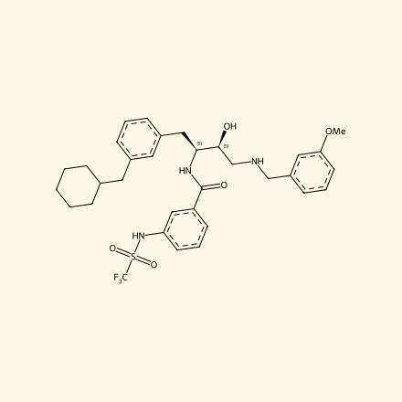 COc1cccc(CNC[C@H](O)[C@H](Cc2cccc(CC3CCCCC3)c2)NC(=O)c2cccc(NS(=O)(=O)C(F)(F)F)c2)c1